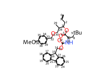 C=CCC(OC(=O)[C@@H](CC(C)(C)C)NC(=O)OCC1c2ccccc2-c2ccccc21)C(C)COCc1ccc(OC)cc1